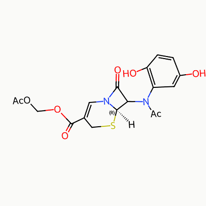 CC(=O)OCOC(=O)C1=CN2C(=O)C(N(C(C)=O)c3cc(O)ccc3O)[C@H]2SC1